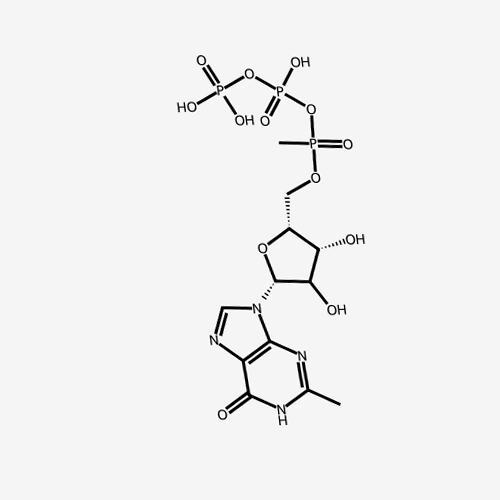 Cc1nc2c(ncn2[C@@H]2O[C@H](COP(C)(=O)OP(=O)(O)OP(=O)(O)O)[C@H](O)C2O)c(=O)[nH]1